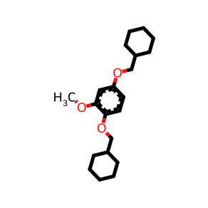 COc1cc(OCC2CCCCC2)ccc1OCC1CCCCC1